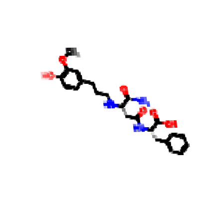 COc1cc(CCCN[C@@H](CC(=O)N[C@@H](Cc2ccccc2)C(=O)O)C(N)=O)ccc1O